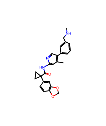 CNCc1cccc(-c2cnc(NC(=O)C3(c4ccc5c(c4)OCO5)CC3)cc2C)c1